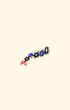 COC(=O)c1ccc(-c2nnc(-c3ccc(N4CCN(C5CCCCCC5)CC4)cc3)s2)cc1